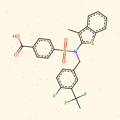 Cc1c(N(Cc2ccc(F)c(C(C)(F)F)c2)S(=O)(=O)c2ccc(C(=O)O)cc2)sc2ccccc12